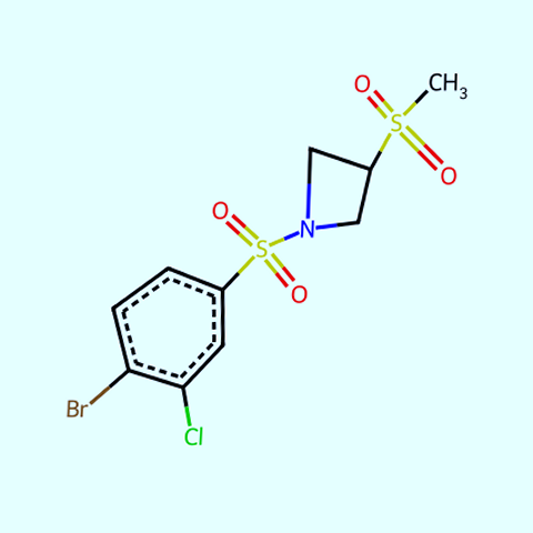 CS(=O)(=O)C1CN(S(=O)(=O)c2ccc(Br)c(Cl)c2)C1